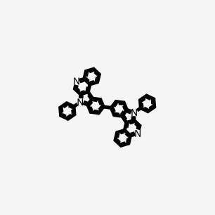 c1ccc(-n2c3ccc(-c4ccc5c(c4)c4c6ccccc6ncc4n5-c4ccccc4)cc3c3c4ccccc4ncc32)cc1